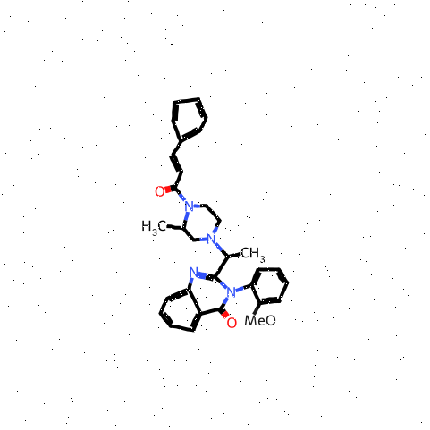 COc1ccccc1-n1c(C(C)N2CCN(C(=O)/C=C/c3ccccc3)C(C)C2)nc2ccccc2c1=O